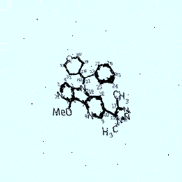 COc1nccc2c1c1ncc(-c3c(C)nnn3C)cc1n2[C@H](c1ccccc1)C1CCOCC1